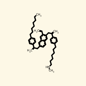 C=Cc1cc2cc(CC(=C)c3ccc(CCCCCCCC)cc3)ccc2cc1CC(=C)c1ccc(CCCCCCCNC)cc1